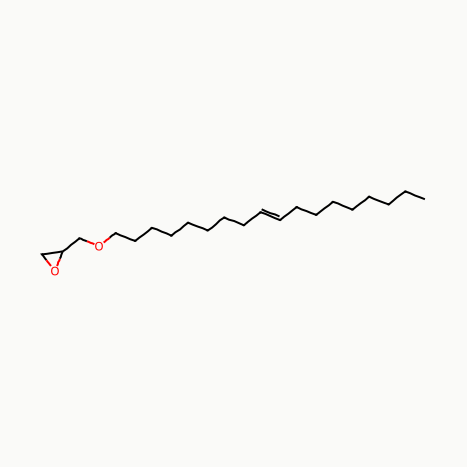 CCCCCCCCC=CCCCCCCCCOCC1CO1